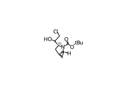 CC(C)(C)OC(=O)N1[C@@H]2C=C2C[C@H]1C(O)CCl